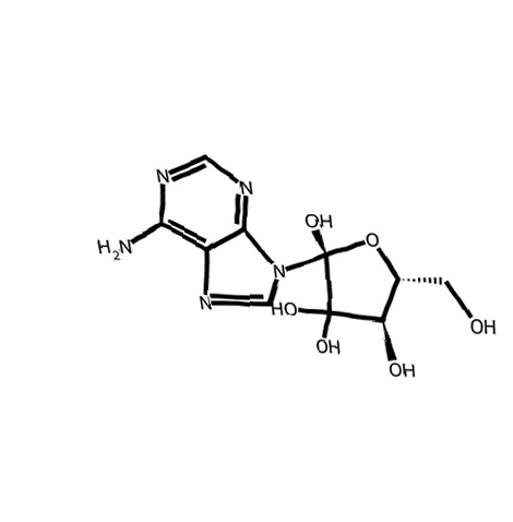 Nc1ncnc2c1ncn2[C@]1(O)O[C@H](CO)[C@@H](O)C1(O)O